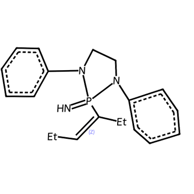 CC/C=C(/CC)P1(=N)N(c2ccccc2)CCN1c1ccccc1